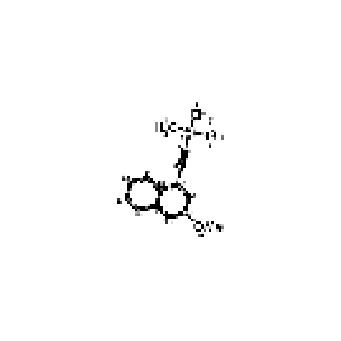 COc1cc(C#C[Si](C)(C)C(C)(C)C)c2ccccc2c1